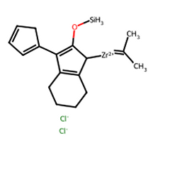 C[C](C)=[Zr+2][CH]1C2=C(CCCC2)C(C2=CC=CC2)=C1O[SiH3].[Cl-].[Cl-]